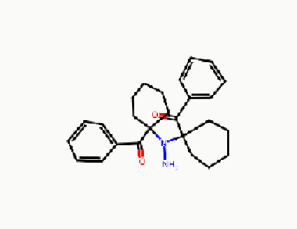 NN(C1(C(=O)c2ccccc2)CCCCC1)C1(C(=O)c2ccccc2)CCCCC1